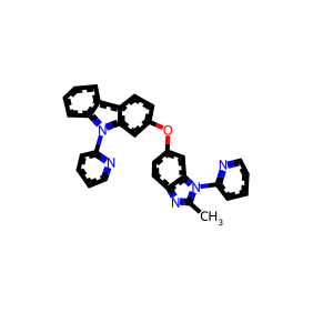 Cc1nc2ccc(Oc3ccc4c5ccccc5n(-c5ccccn5)c4c3)cc2n1-c1ccccn1